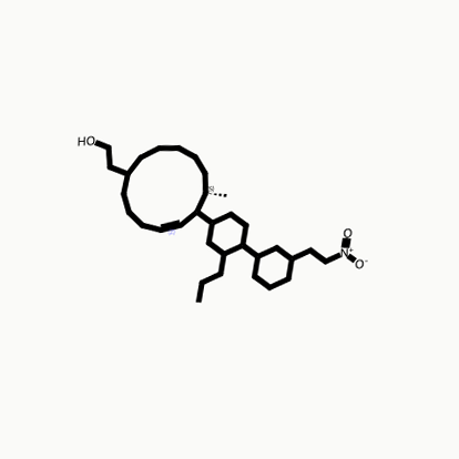 CCCC1CC(C2/C=C\CCCC(CCO)CCCCC[C@@H]2C)CCC1C1CCCC(CC[N+](=O)[O-])C1